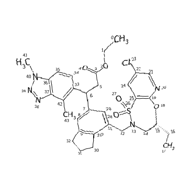 CCOC(=O)CC(c1cc2c(c(CN3C[C@@H](CC)Oc4ncc(Cl)cc4S3(=O)=O)c1)CCC2)c1ccc2c(nnn2C)c1C